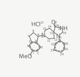 COc1ccc2c(c1)CCC2N1CCC2(CC1)C(=O)NCN2c1ccccc1.Cl